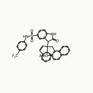 COc1ccc2ccccc2c1CC1(C2C(=O)Nc3ccc(S(=O)(=O)Nc4ccc(C(F)(F)F)cc4)cc32)C=Cc2ccccc21